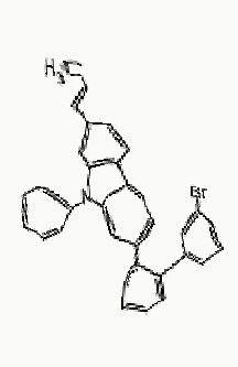 C/C=C/c1ccc2c3ccc(-c4ccccc4-c4cccc(Br)c4)cc3n(-c3ccccc3)c2c1